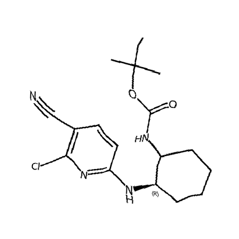 CC(C)(C)OC(=O)NC1CCCC[C@H]1Nc1ccc(C#N)c(Cl)n1